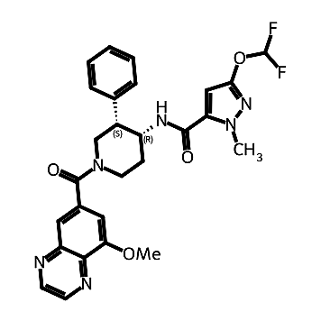 COc1cc(C(=O)N2CC[C@@H](NC(=O)c3cc(OC(F)F)nn3C)[C@@H](c3ccccc3)C2)cc2nccnc12